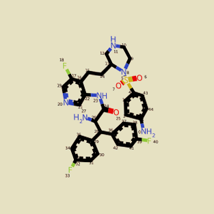 Nc1ccc(S(=O)(=O)N2CCNCC2CCc2c(F)cncc2NC(=O)C(N)C(c2ccc(F)cc2)c2ccc(F)cc2)cc1